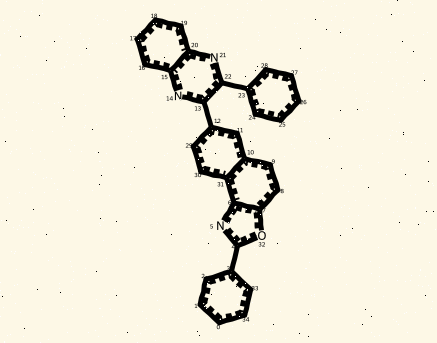 c1ccc(-c2nc3c(ccc4cc(-c5nc6ccccc6nc5-c5ccccc5)ccc43)o2)cc1